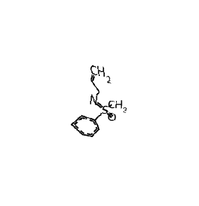 C=CCN=S(C)(=O)c1ccccc1